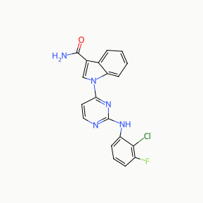 NC(=O)c1cn(-c2ccnc(Nc3cccc(F)c3Cl)n2)c2ccccc12